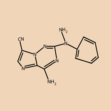 N#Cc1cnc2c(N)nc(N(N)c3ccccc3)nn12